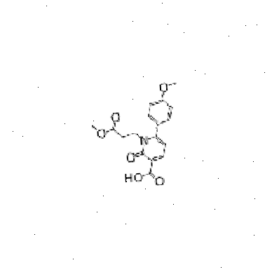 COC(=O)CCn1c(-c2ccc(OC)cc2)ccc(C(=O)O)c1=O